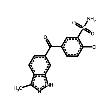 Cc1n[nH]c2cc(C(=O)c3ccc(Cl)c(S(N)(=O)=O)c3)ccc12